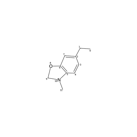 CCc1ccc2c(c1)OCN2C